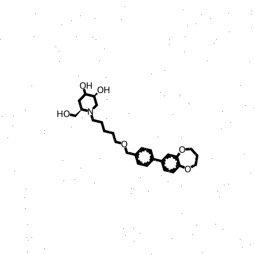 OC[C@H]1CC(O)[C@@H](O)CN1CCCCCOCc1ccc(-c2ccc3c(c2)OCCCO3)cc1